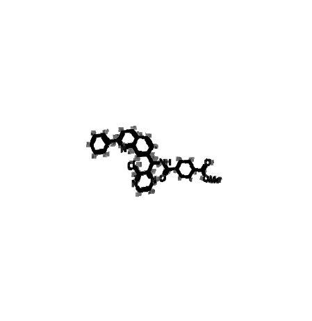 COC(=O)C1CCC(C(=O)NC(c2ccc3ccc(-c4ccccc4)nc3c2)c2nccnc2Cl)CC1